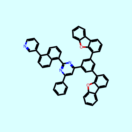 c1ccc(-c2cc(-c3cc(-c4cccc5c4oc4ccccc45)cc(-c4cccc5c4oc4ccccc45)c3)nc(-c3cccc4c(-c5cccnc5)cccc34)n2)cc1